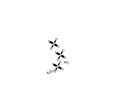 O=S([O-])([O-])=S.O=S([O-])([O-])=S.O=S([O-])([O-])=S.[Au+3].[Cu+2].[NH4+]